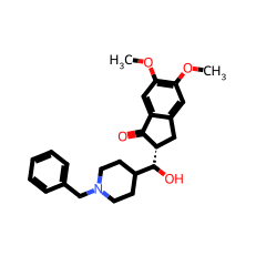 COc1cc2c(cc1OC)C(=O)[C@@H](C(O)C1CCN(Cc3ccccc3)CC1)C2